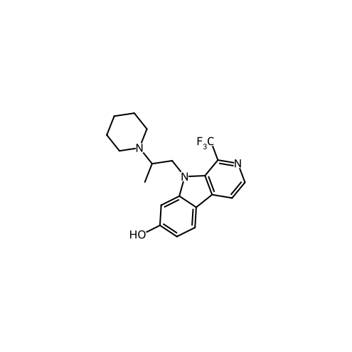 CC(Cn1c2cc(O)ccc2c2ccnc(C(F)(F)F)c21)N1CCCCC1